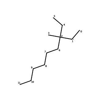 C[CH]C(C)(CC)CCCCCC